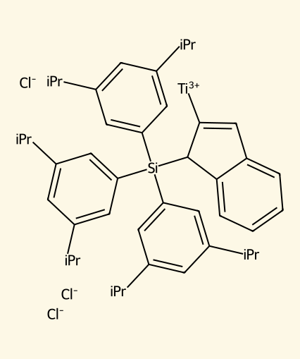 CC(C)c1cc(C(C)C)cc([Si](c2cc(C(C)C)cc(C(C)C)c2)(c2cc(C(C)C)cc(C(C)C)c2)C2[C]([Ti+3])=Cc3ccccc32)c1.[Cl-].[Cl-].[Cl-]